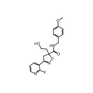 COc1ccc(CNC(=O)C2(CCO)CC(c3cccnc3F)=NO2)cc1